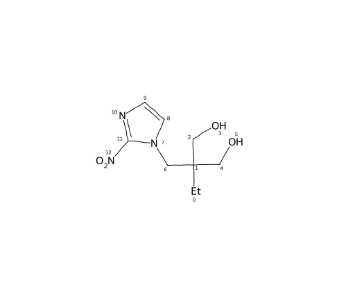 CCC(CO)(CO)Cn1ccnc1[N+](=O)[O-]